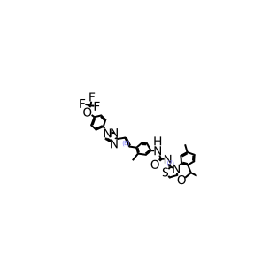 Cc1ccc(C(C)C)c(N2C(=O)CS/C2=N\C(=O)Nc2ccc(/C=C/c3ncn(-c4ccc(OC(F)(F)F)cc4)n3)c(C)c2)c1